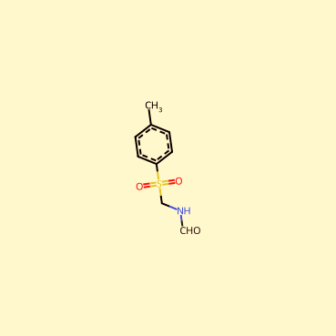 Cc1ccc(S(=O)(=O)CNC=O)cc1